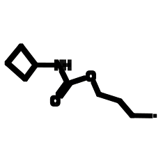 [CH2]CCCOC(=O)NC1CCC1